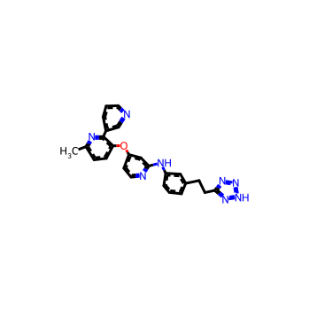 Cc1ccc(Oc2ccnc(Nc3cccc(CCc4nn[nH]n4)c3)c2)c(-c2cccnc2)n1